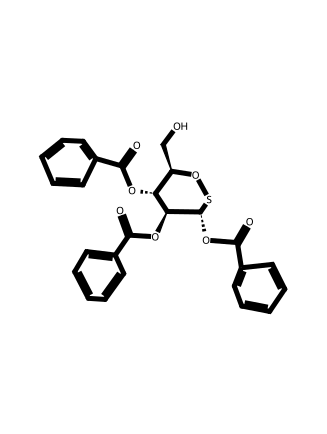 O=C(O[C@H]1[C@H](OC(=O)c2ccccc2)[C@@H](OC(=O)c2ccccc2)SO[C@@H]1CO)c1ccccc1